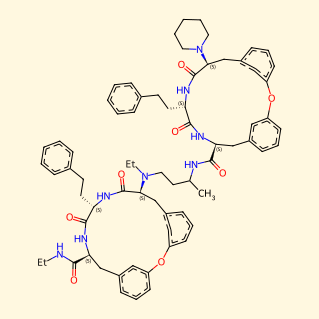 CCNC(=O)[C@@H]1Cc2cccc(c2)Oc2cccc(c2)C[C@H](N(CC)CCC(C)NC(=O)[C@@H]2Cc3cccc(c3)Oc3cccc(c3)C[C@H](N3CCCCC3)C(=O)N[C@@H](CCc3ccccc3)C(=O)N2)C(=O)N[C@@H](CCc2ccccc2)C(=O)N1